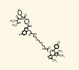 CNC(C)C(=O)NC(C(=O)N1CCN(C(=O)c2cc3cc(F)ccc3n2CC(=O)NCCOCCOCCNC(=O)C[C@@H]2N=C(c3ccc(Cl)cc3)c3c(sc(C)c3C)-n3c(C)nnc32)CC1)C1CCCCC1